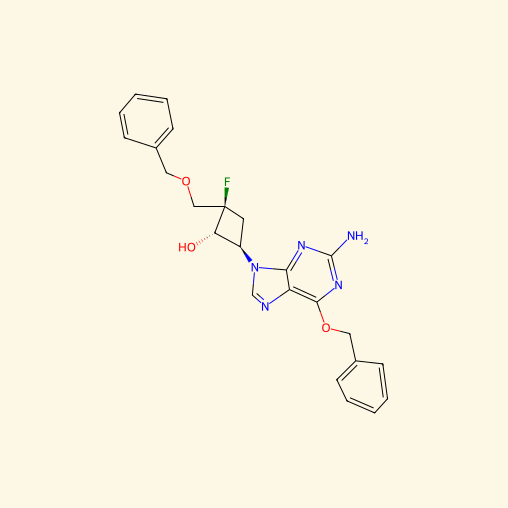 Nc1nc(OCc2ccccc2)c2ncn([C@@H]3C[C@@](F)(COCc4ccccc4)[C@H]3O)c2n1